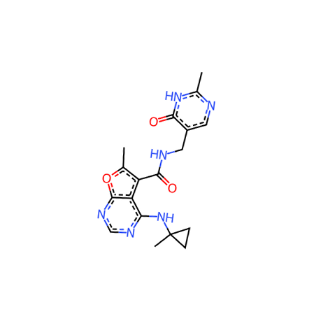 Cc1ncc(CNC(=O)c2c(C)oc3ncnc(NC4(C)CC4)c23)c(=O)[nH]1